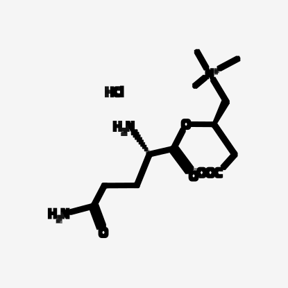 C[N+](C)(C)C[C@@H](CC(=O)[O-])OC(=O)[C@@H](N)CCC(N)=O.Cl